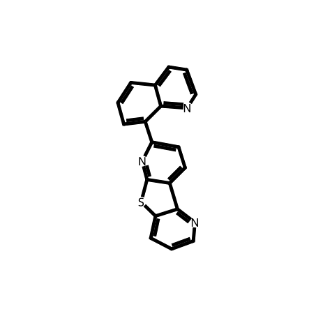 c1cnc2c(-c3ccc4c(n3)sc3cccnc34)cccc2c1